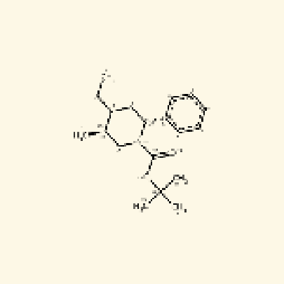 CCN1C[C@H](c2ccccc2)N(C(=O)OC(C)(C)C)C[C@H]1C